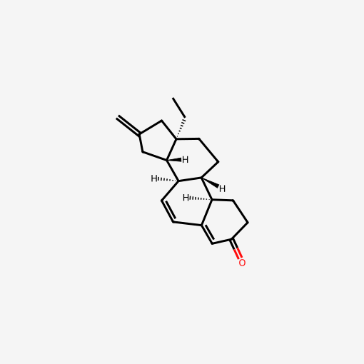 C=C1C[C@H]2[C@@H]3C=CC4=CC(=O)CC[C@@H]4[C@H]3CC[C@]2(CC)C1